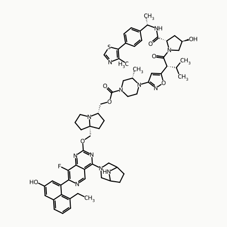 CCc1cccc2cc(O)cc(-c3ncc4c(N5CC6CCC(C5)N6)nc(OC[C@]56CCCN5[C@H](COC(=O)N5CCN(c7cc([C@H](C(=O)N8C[C@H](O)C[C@H]8C(=O)N[C@@H](C)c8ccc(-c9scnc9C)cc8)C(C)C)on7)[C@@H](C)C5)CC6)nc4c3F)c12